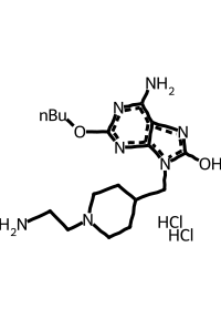 CCCCOc1nc(N)c2nc(O)n(CC3CCN(CCN)CC3)c2n1.Cl.Cl